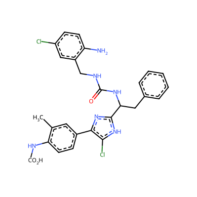 Cc1cc(-c2nc(C(Cc3ccccc3)NC(=O)NCc3cc(Cl)ccc3N)[nH]c2Cl)ccc1NC(=O)O